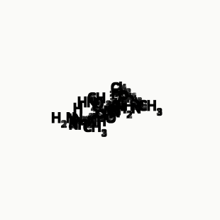 CNC(=O)Cc1cc(-n2cc3cc(-c4cc(CCC[C@H](C)N)cc(Cl)c4F)[nH]c3nc2=O)ccc1CN[C@@H](C)CCNC(=N)N